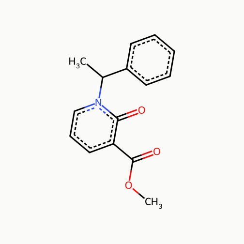 COC(=O)c1cccn(C(C)c2ccccc2)c1=O